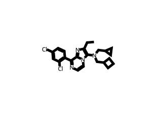 CCc1nc2c(-c3ccc(Cl)cc3Cl)nccn2c1N(CC1CCC1)CC1CC1